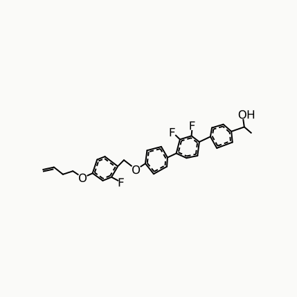 C=CCCOc1ccc(COc2ccc(-c3ccc(-c4ccc(C(C)O)cc4)c(F)c3F)cc2)c(F)c1